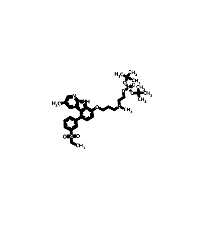 CCS(=O)(=O)c1cccc(-c2ccc(OCCCN(C)CCOP(=O)(OC(C)(C)C)OC(C)(C)C)c3[nH]c4ncc(C)cc4c23)c1